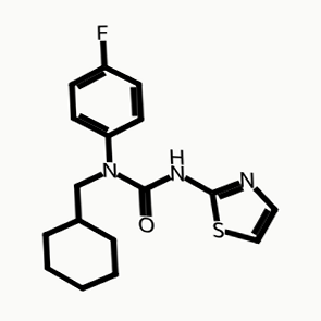 O=C(Nc1nccs1)N(CC1CCCCC1)c1ccc(F)cc1